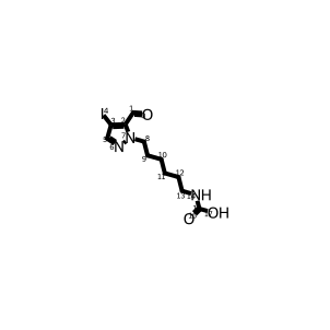 O=Cc1c(I)cnn1CCCCCCNC(=O)O